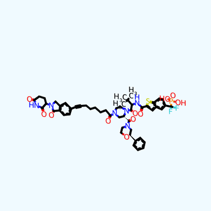 CC(C)(C)C(NC(=O)c1cc2cc(C(F)(F)P(=O)(O)O)ccc2s1)C(=O)N1CCN(C(=O)CCCCCC#Cc2ccc3c(c2)CN(C2CCC(=O)NC2=O)C3=O)C[C@H]1C(=O)N1CCO[C@H](c2ccccc2)C1